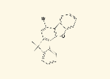 CC1(C)c2ccccc2-c2c1cc(Br)c1c2oc2ccccc21